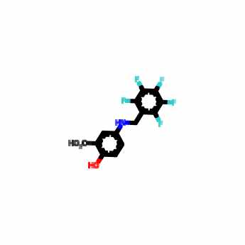 O=C(O)c1cc(NCc2c(F)c(F)c(F)c(F)c2F)ccc1O